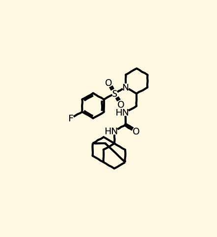 O=C(NCC1CCCCN1S(=O)(=O)c1ccc(F)cc1)NC12CC3CC(CC(C3)C1)C2